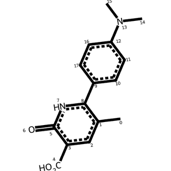 Cc1cc(C(=O)O)c(=O)[nH]c1-c1ccc(N(C)C)cc1